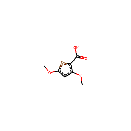 COc1cc(OC)c(C(=O)O)s1